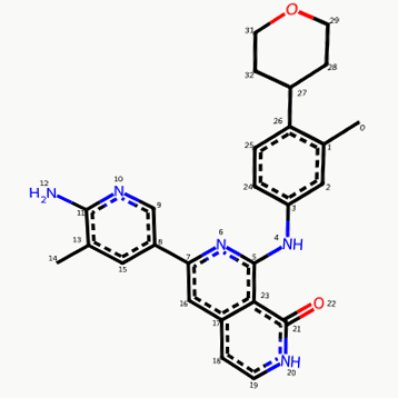 Cc1cc(Nc2nc(-c3cnc(N)c(C)c3)cc3cc[nH]c(=O)c23)ccc1C1CCOCC1